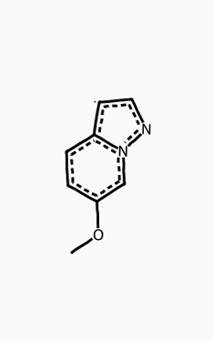 COc1ccc2[c]cnn2c1